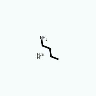 CCCCN.S.[H]